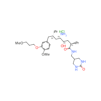 COCCCOc1cc(C[C@@H](C[C@H](N)[C@@H](O)C[C@H](C(=O)NCC2CNC(=O)NC2)C(C)C)C(C)C)ccc1OC.Cl